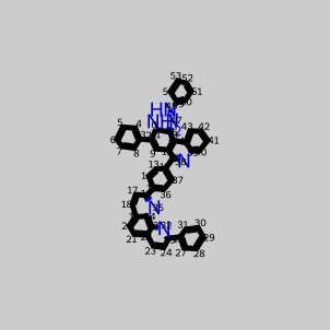 NC1C(c2ccccc2)=Cc2c(-c3ccc(-c4ccc5ccc6ccc(-c7ccccc7)nc6c5n4)cc3)nc3ccccc3c2/C1=N/Nc1ccccc1